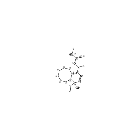 CCC1(O)N=NC(C(C)OC(=O)NC)=C2CCCCCCC21